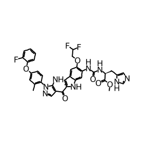 COC(=O)[C@H](Cc1cnc[nH]1)NC(=O)Nc1cc2[nH]c(C(=O)c3cnn(-c4ccc(Oc5ccccc5F)cc4C)c3N)cc2cc1OCC(F)F